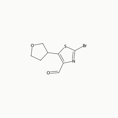 O=Cc1nc(Br)sc1C1CCOC1